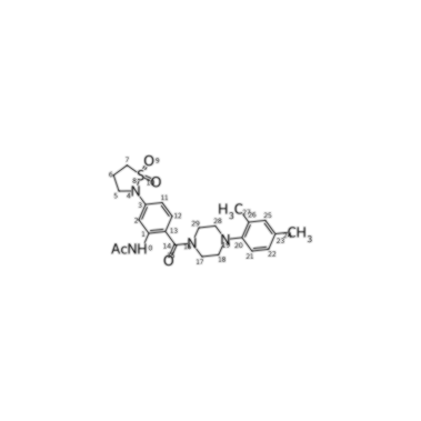 CC(=O)Nc1cc(N2CCCS2(=O)=O)ccc1C(=O)N1CCN(c2ccc(C)cc2C)CC1